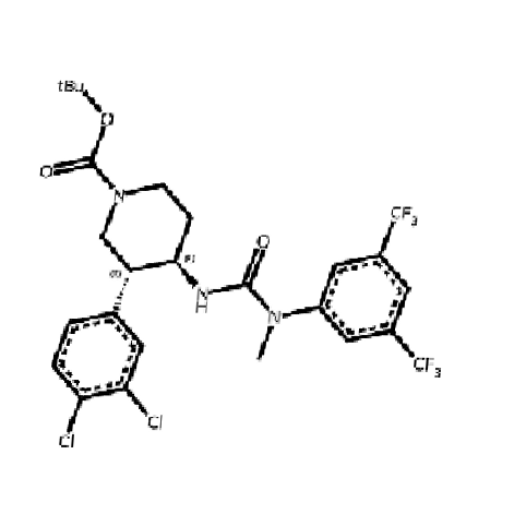 CN(C(=O)N[C@@H]1CCN(C(=O)OC(C)(C)C)C[C@H]1c1ccc(Cl)c(Cl)c1)c1cc(C(F)(F)F)cc(C(F)(F)F)c1